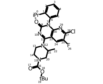 CC(C)c1ccccc1-n1c(=O)nc(N2CCN(C(=O)OC(C)(C)C)CC2C)c2cc(F)c(Cl)nc21